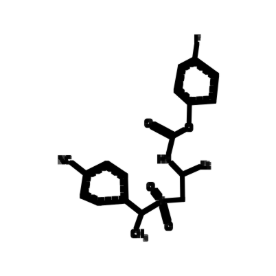 CCC(CS(=O)(=O)C(C)c1ccc(C#N)cc1)NC(=O)Oc1ccc(F)cc1